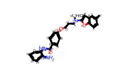 Cc1ccc2oc(N(C=O)CCCOc3ccc(C(=O)Nc4ccccc4N)cc3)cc2c1